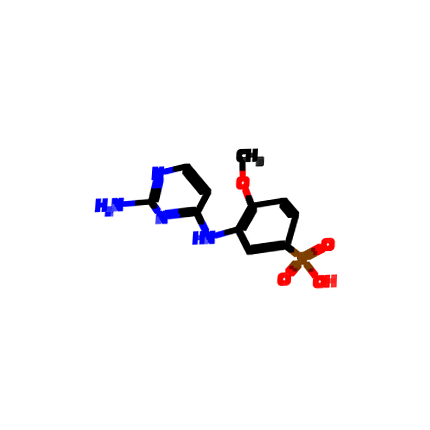 COc1ccc(S(=O)(=O)O)cc1Nc1ccnc(N)n1